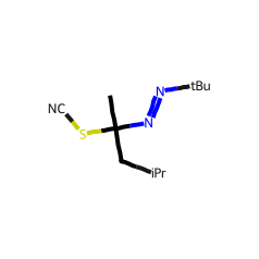 CC(C)CC(C)(N=NC(C)(C)C)SC#N